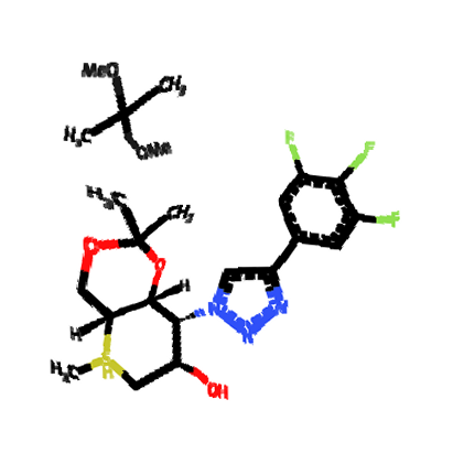 COC(C)(C)OC.C[SH]1C[C@H](O)[C@@H](n2cc(-c3cc(F)c(F)c(F)c3)nn2)[C@H]2OC(C)(C)OC[C@H]21